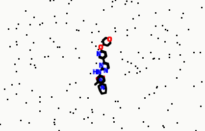 Cc1cc(Nc2nccc(-c3ccc(OC4CCOCC4)nc3)n2)ccc1N1C2CCC1CC(N(C)C)C2